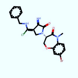 CN1C(=O)[C@@H](N2C/C(=C(\Cl)NCc3ccccc3)C(=N)C2=O)COc2cc(Br)ccc21